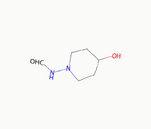 O=CNN1CCC(O)CC1